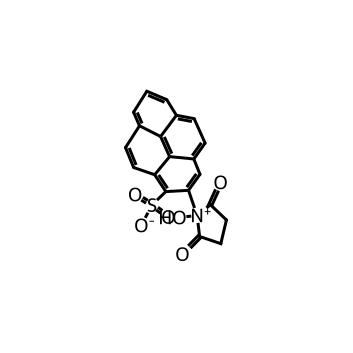 O=C1CCC(=O)[N+]1(O)c1cc2ccc3cccc4ccc(c1S(=O)(=O)[O-])c2c34